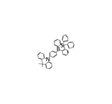 CC1(C)c2ccccc2N(c2ccc(B3c4ccc#cc4[Si](c4ccccc4)(c4ccccc4)c4ccccc43)cc2)c2ccccc21